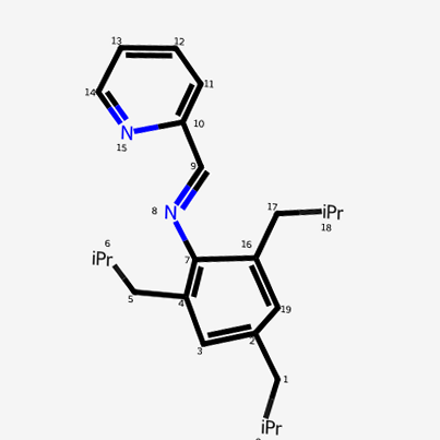 CC(C)Cc1cc(CC(C)C)c(N=Cc2ccccn2)c(CC(C)C)c1